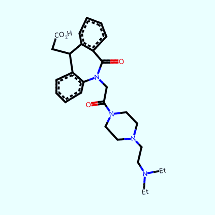 CCN(CC)CCN1CCN(C(=O)CN2C(=O)c3ccccc3C(CC(=O)O)c3ccccc32)CC1